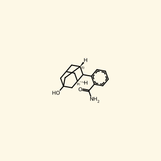 NC(=O)c1ccccc1C1[C@@H]2CC3C[C@H]1CC(O)(C3)C2